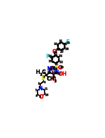 CC(C)(SCCN1CCOCC1)[C@@H](N)C(=O)N(O)S(=O)(=O)c1ccc(Oc2ccc(F)cc2)c(F)c1